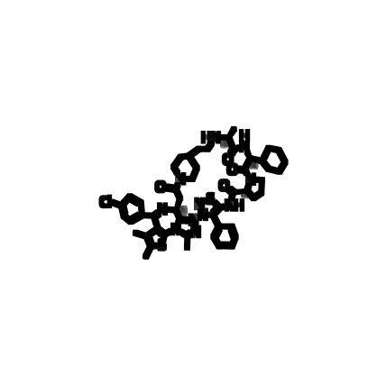 Cc1sc2c(c1C)C(c1ccc(Cl)cc1)=N[C@@H](CC(=O)N1CCC(CCN[C@@H](C)C(=O)N[C@H](C(=O)N3CCC[C@H]3C(=O)Nc3snnc3-c3ccccc3)C3CCCCC3)CC1)c1nnc(C)n1-2